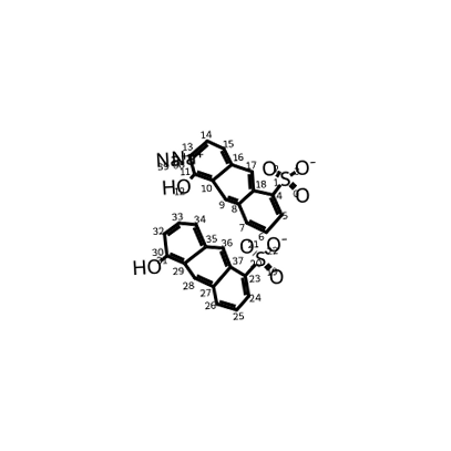 O=S(=O)([O-])c1cccc2cc3c(O)cccc3cc12.O=S(=O)([O-])c1cccc2cc3c(O)cccc3cc12.[Na+].[Na+]